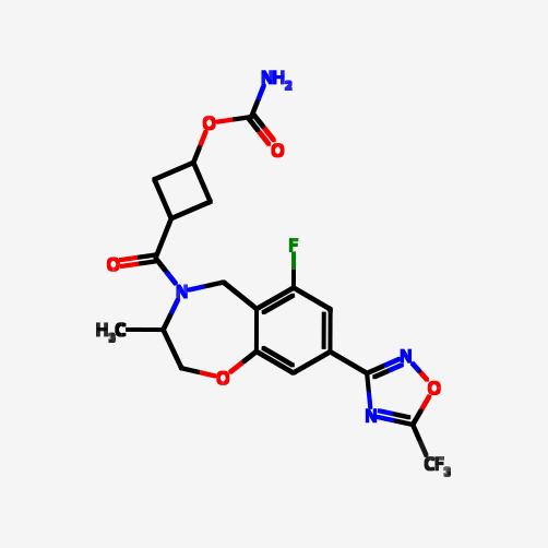 CC1COc2cc(-c3noc(C(F)(F)F)n3)cc(F)c2CN1C(=O)C1CC(OC(N)=O)C1